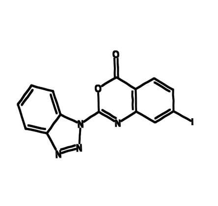 O=c1oc(-n2nnc3ccccc32)nc2cc(I)ccc12